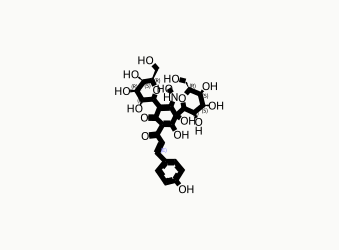 O=C(/C=C/c1ccc(O)cc1)C1=C(O)C(O)(C2O[C@H](CO)[C@@H](O)[C@H](O)[C@H]2O)C(NO)=C(C2O[C@H](CO)[C@@H](O)[C@H](O)[C@H]2O)C1=O